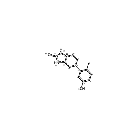 Cc1ccc(C#N)cc1-c1ccc2[nH]c(=O)[nH]c2c1